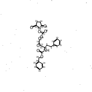 O=C(N[C@H](CCc1ccccc1)[C@@H]1OC1OOC(=O)ON1C(=O)CCC1=O)OCc1ccccc1